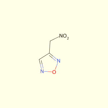 O=[N+]([O-])Cc1cnon1